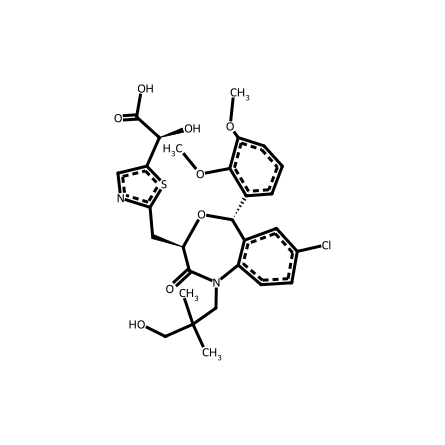 COc1cccc([C@H]2O[C@H](Cc3ncc([C@H](O)C(=O)O)s3)C(=O)N(CC(C)(C)CO)c3ccc(Cl)cc32)c1OC